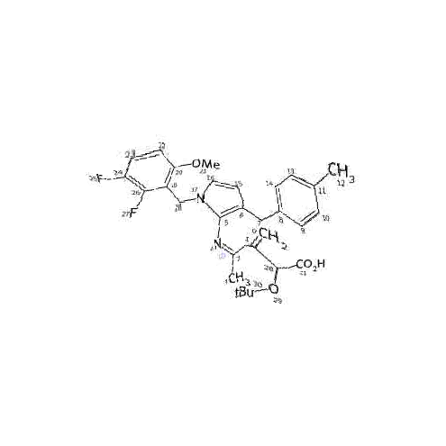 C=C(/C(C)=N\c1c(Cc2ccc(C)cc2)ccn1Cc1c(OC)ccc(F)c1F)C(OC(C)(C)C)C(=O)O